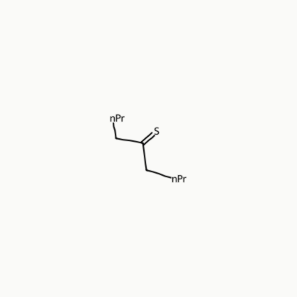 CCCCC(=S)CCCC